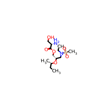 CC[C@H](C)O[C@H](COC(=O)[C@@H](N)CO)CN(CC)S(C)(=O)=O